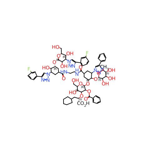 CC1O[C@@H](OC2C(n3cc(-c4ccccc4)nn3)CC(C(=O)NCCNC(=O)C3CC(n4cc(-c5cccc(F)c5)nn4)C(O)[C@H](O[C@@H]4OC(CO)[C@H](O)C(n5cc(-c6cccc(F)c6)nn5)C4O)C3)C[C@H]2O[C@@H]2OC(CO)[C@H](O)C(O[C@@H](CC3CCCCC3)C(=O)O)C2OC(=O)c2ccccc2)C(O)C(O)[C@@H]1O